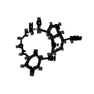 CNc1cc2nc3c(cnn13)C(=O)NCCOCc1cncc(n1)N2